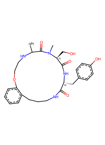 CCCC1NCCOc2ccccc2CCCNC(=O)[C@@H](Cc2ccc(O)cc2)NC(=O)[C@H](CO)N(C)C1=O